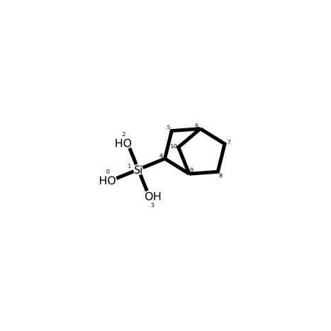 O[Si](O)(O)C1CC2CCC1C2